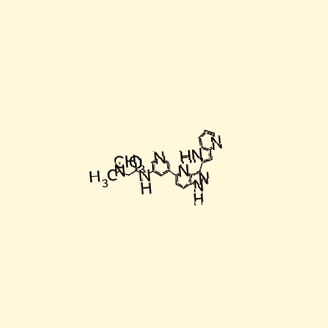 CN(C)CC(=O)Nc1cncc(-c2ccc3[nH]nc(-c4cc5ncccc5[nH]4)c3n2)c1